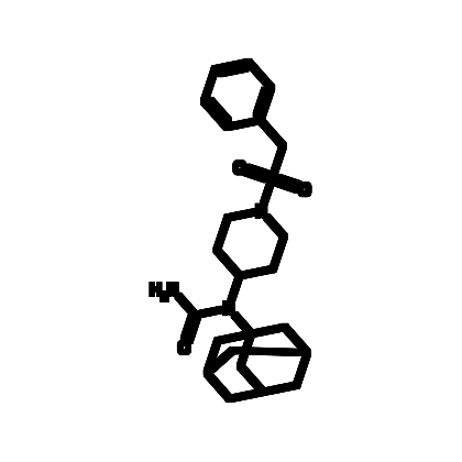 NC(=O)N(C1CCN(S(=O)(=O)Cc2ccccc2)CC1)C12CC3CC(CC(C3)C1)C2